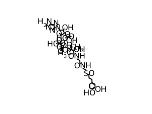 CC(C)(COP(=O)(O)OP(=O)(O)OC[C@H]1O[C@@H](n2cnc3c(N)ncnc32)[C@H](O)[C@@H]1OP(=O)(O)O)[C@@H](O)C(=O)NCCC(=O)NCCSC(=O)CCc1ccc(O)c(O)c1